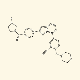 N#Cc1cc(-c2ccnc3cc(-c4ccc(C(=O)N5CCC(F)C5)cc4)oc23)ccc1OC1CCOCC1